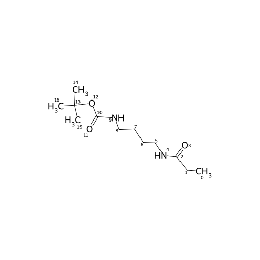 CCC(=O)NCCCCNC(=O)OC(C)(C)C